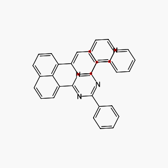 C1=C(c2ccccn2)CCC(c2cccc3cccc(-c4nc(-c5ccccc5)nc(-c5ccccc5)n4)c23)=C1